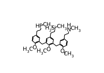 CNCCc1ccc(OC)c(Cc2cc(CC[SiH2]C)cc(Cc3cc(CCPC)ccc3OC)c2OC)c1